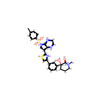 Cc1ccc(S(=O)(=O)n2cc(-c3nc(-c4cccc([C@@]5(O)CCCN(C)C5=O)c4)cs3)c3nccnc32)cc1